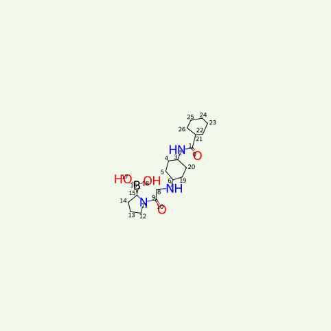 O=C(NC1CCC(NCC(=O)N2CCC[C@H]2B(O)O)CC1)C1CCCCC1